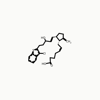 C=C1CC[C@H](/C=C/C(O)CCc2sc3ccccc3c2Cl)[C@H]1C/C=C\CCCC(=O)O